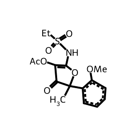 CCS(=O)(=O)NC1=C(OC(C)=O)C(=O)C(C)(c2ccccc2OC)O1